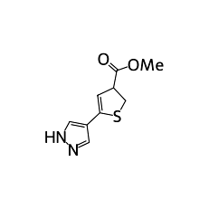 COC(=O)C1C=C(c2cn[nH]c2)SC1